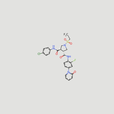 O=C(Nc1ccc(Cl)cc1)[C@H]1CN(S(=O)(=O)CC(F)(F)F)C[C@@H]1C(=O)Nc1ccc(-n2ccccc2=O)cc1F